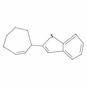 C1=CC(c2cc3ccccc3s2)CCCC1